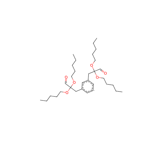 CCCCCOC(C=O)(Cc1c[c]cc(CC(C=O)(OCCCCC)OCCCCC)c1)OCCCCC